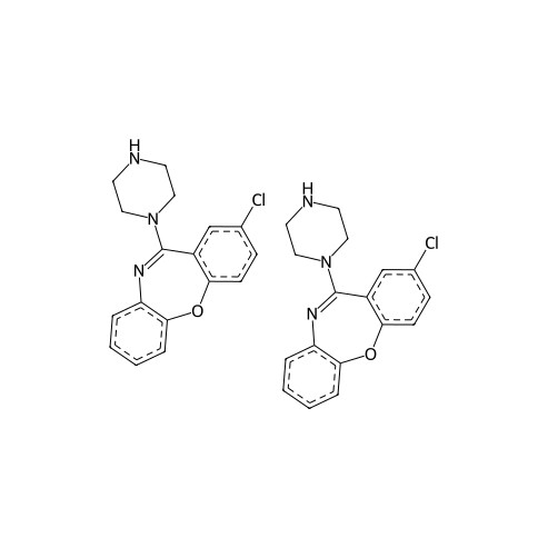 Clc1ccc2c(c1)C(N1CCNCC1)=Nc1ccccc1O2.Clc1ccc2c(c1)C(N1CCNCC1)=Nc1ccccc1O2